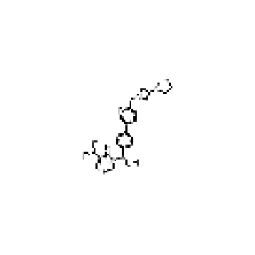 O=C(N[C@H](CF)[C@H](O)c1ccc(-c2ccc(CN3CC(N4CCCC4)C3)nc2)cc1)C(F)F